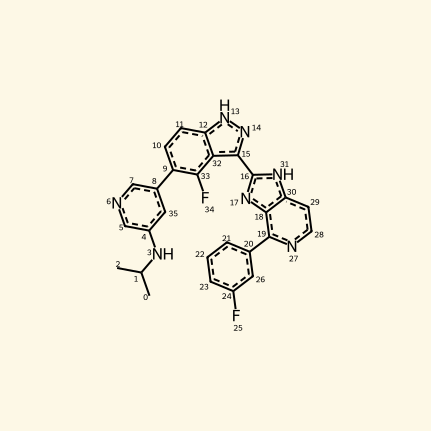 CC(C)Nc1cncc(-c2ccc3[nH]nc(-c4nc5c(-c6cccc(F)c6)nccc5[nH]4)c3c2F)c1